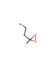 CC(=O)CCC1(C)OO1